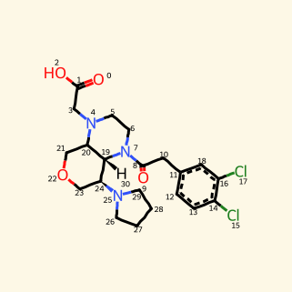 O=C(O)CN1CCN(C(=O)Cc2ccc(Cl)c(Cl)c2)[C@H]2C1COC[C@@H]2N1CCCC1